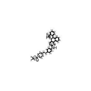 CC(C)(C)OC(=O)N1CCN(CCc2ccc(Nc3ncc4c(n3)-c3ccccc3C(c3ccccc3C(F)(F)F)C4)cc2)CC1